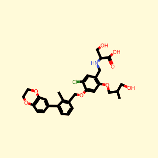 Cc1c(COc2cc(OCC(C)CO)c(CNC(CO)C(=O)O)cc2Cl)cccc1-c1ccc2c(c1)OCCO2